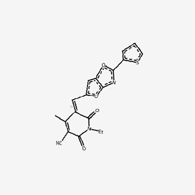 CCN1C(=O)C(C#N)=C(C)/C(=C/c2cc3oc(-c4cccs4)nc3o2)C1=O